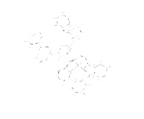 c1ccc(-c2cccc(-c3cc(-n4c5ccccc5c5c4ccc4c6ccccc6n(-c6ccccc6)c45)nc(-c4cccc5c4oc4ccccc45)n3)c2)cc1